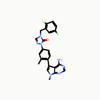 Cc1cc(-n2ncn(Cc3cc(F)ccc3F)c2=O)ccc1-c1cn(C)c2ncnc(N)c12